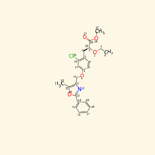 CCO[C@@H](Cc1ccc(OCc2nc(-c3ccccc3)oc2C)cc1Cl)C(=O)OC